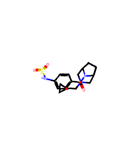 O=C(c1ccc(N[SH](=O)=O)cc1)N1C2CCC1CN(CC1CC1)C2